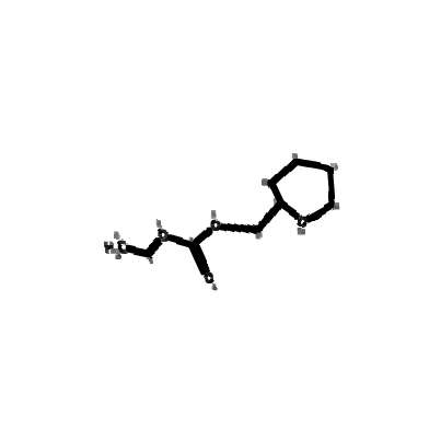 CCOC(=O)OCC1CCCCO1